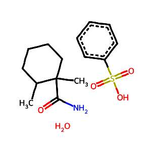 CC1CCCCC1(C)C(N)=O.O.O=S(=O)(O)c1ccccc1